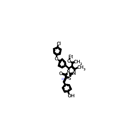 C=C(OCC)C1=C(C)N=c2s/c(=C\c3ccc(O)cc3)c(=O)n2C1c1ccc(Oc2ccc(Cl)cc2)cc1